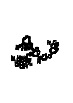 COc1ccc(Oc2ccc(NC(=O)CN(CC(=O)NC(C)(C)C(=O)O)C(=O)c3cc4cccc(C#N)c4[nH]3)cc2)cc1